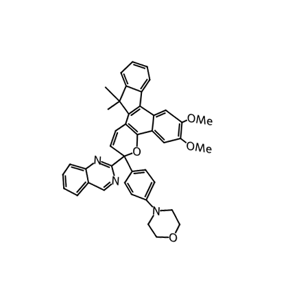 COc1cc2c3c(c4c(c2cc1OC)-c1ccccc1C4(C)C)C=CC(c1ccc(N2CCOCC2)cc1)(c1ncc2ccccc2n1)O3